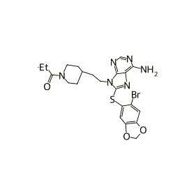 C[CH]C(=O)N1CCC(CCn2c(Sc3cc4c(cc3Br)OCO4)nc3c(N)ncnc32)CC1